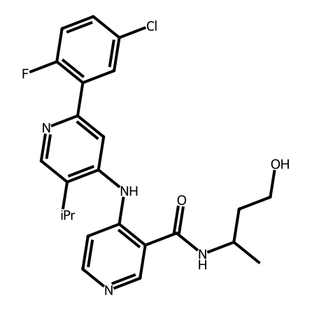 CC(CCO)NC(=O)c1cnccc1Nc1cc(-c2cc(Cl)ccc2F)ncc1C(C)C